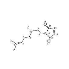 CC(C)=CCC[C@H](C)CCN1C(=O)C=CC1=O